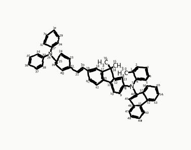 Cc1ccccc1N(c1ccc2c(c1)C(C)(C)c1cc(/C=C/c3ccc(N(c4ccccc4)c4ccccc4)cc3)ccc1-2)c1cc2ccccc2c2ccccc12